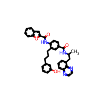 CC(Cc1cccc2nccnc12)NC(=O)c1ccc(NC(=O)c2cc3ccccc3o2)c(CCCc2cccc(O)c2)c1